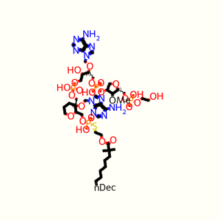 CCCCCCCCCCCCCCCCC(C)(C)C(=O)OCCSP(=O)(O)OCC1OCCC[C@]1(COP(=O)(O)OCC(O)[C@@H](COP(=O)(O)OC1CO[C@H](COP(=O)(O)OCCO)C1OC)OCn1cnc2c(N)ncnc21)OCn1cnc2c(N)ncnc21